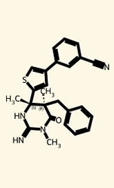 CN1C(=N)N[C@](C)(c2cc(-c3cccc(C#N)c3)cs2)[C@@](C)(Cc2ccccc2)C1=O